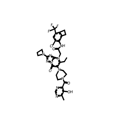 CCc1c(N2CCN(C(=O)c3ncnc(C)c3O)CC2)c(=O)n2nc(N3CCC3)nc2n1CC(=O)Nc1c(Cl)cc(C(F)(F)F)c2c1CC2